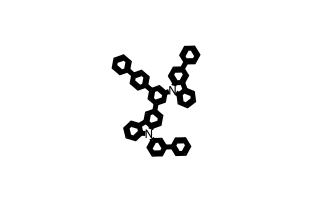 c1ccc(-c2ccc(-c3cc(-c4ccc5c(c4)c4ccccc4n5-c4cccc(-c5ccccc5)c4)cc(-n4c5ccccc5c5cc(-c6ccccc6)ccc54)c3)cc2)cc1